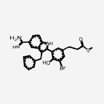 COC(=O)CCc1cc(Br)c(O)c(-c2[nH]c3ccc(C(=N)N)cc3c2Cc2ccccc2)c1